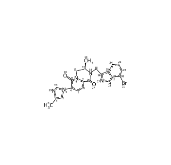 Cc1cn(-c2ccc3n(c2=O)C[C@@H](C)N(Cc2nsc4c(Br)cccc24)C3=O)cn1